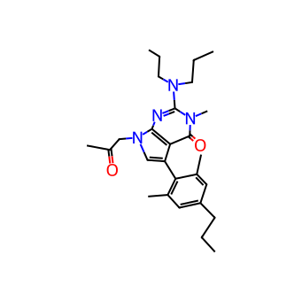 CCCc1cc(C)c(-c2cn(CC(C)=O)c3nc(N(CCC)CCC)n(C)c(=O)c23)c(C)c1